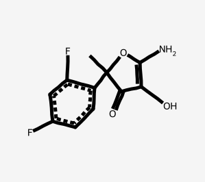 CC1(c2ccc(F)cc2F)OC(N)=C(O)C1=O